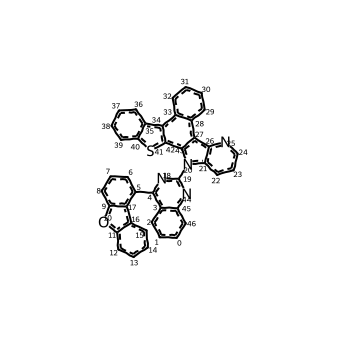 c1ccc2c(-c3cccc4oc5ccccc5c34)nc(-n3c4cccnc4c4c5ccccc5c5c6ccccc6sc5c43)nc2c1